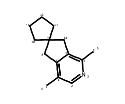 Ic1cnc(I)c2c1CC1(CCCC1)C2